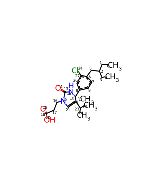 CCC(CC)Cc1ccc([C@]2(C)NC(=O)N(CCC(=O)O)C=C2C(C)C)cc1Cl